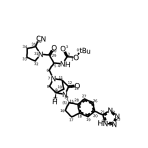 CC(C)(C)OC(=O)NC(CN1C[C@@H]2CC1C(=O)N2[C@H]1CCc2cc(-c3nnn[nH]3)ccc21)C(=O)N1CCCC1C#N